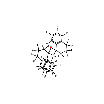 Fc1c(F)c(F)[c]([Al-]([F])([C]2(F)c3c(F)c(F)c(F)c(F)c3C(F)(F)C(F)(F)C2(F)F)[C]2(F)c3c(F)c(F)c(F)c(F)c3C(F)(F)C(F)(F)C2(F)F)c(F)c1F